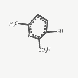 Cc1ccc(S)c(C(=O)O)n1